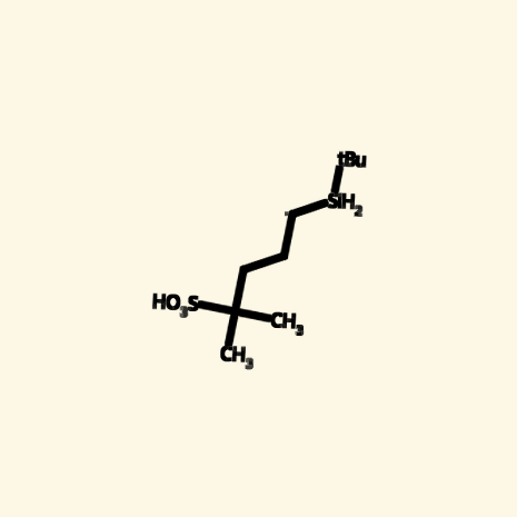 CC(C)(C)[SiH2][CH]CCC(C)(C)S(=O)(=O)O